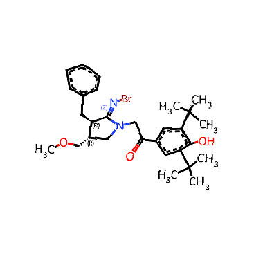 COC[C@H]1CN(CC(=O)c2cc(C(C)(C)C)c(O)c(C(C)(C)C)c2)/C(=N\Br)[C@@H]1Cc1ccccc1